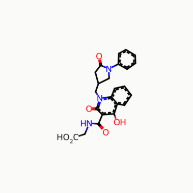 O=C(O)CNC(=O)c1c(O)c2ccccc2n(CC2CC(=O)N(c3ccccc3)C2)c1=O